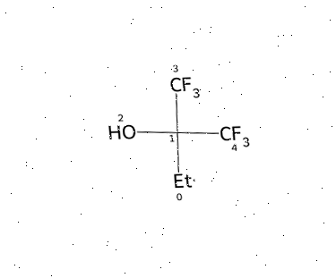 C[CH]C(O)(C(F)(F)F)C(F)(F)F